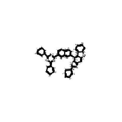 c1ccc(-c2nc(-c3ccccc3)nc(-c3ccc4ccc(-c5c6oc(-c7ccccc7)nc6cc6oc7ccccc7c56)cc4c3)n2)cc1